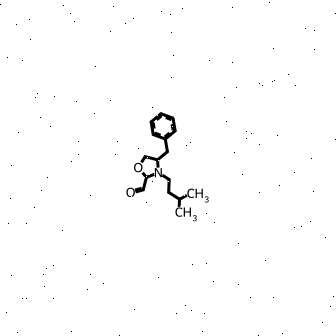 CC(C)CCN1C(Cc2ccccc2)COC1C=O